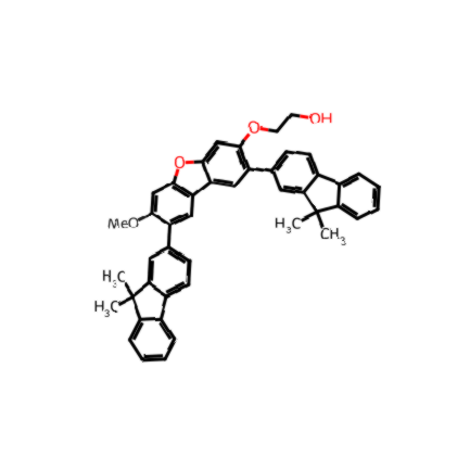 COc1cc2oc3cc(OCCO)c(-c4ccc5c(c4)C(C)(C)c4ccccc4-5)cc3c2cc1-c1ccc2c(c1)C(C)(C)c1ccccc1-2